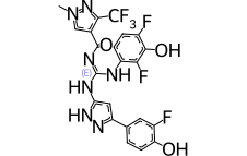 Cn1cc(C(=O)/N=C(/Nc2cc(-c3ccc(O)c(F)c3)n[nH]2)Nc2ccc(F)c(O)c2F)c(C(F)(F)F)n1